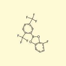 Fc1cccc2c1OB(c1cc(C(F)(F)F)ccc1C(F)(F)F)O2